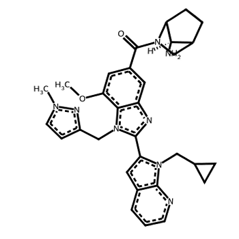 COc1cc(C(=O)N2CC3CCC2[C@@H]3N)cc2nc(-c3cc4cccnc4n3CC3CC3)n(Cc3ccn(C)n3)c12